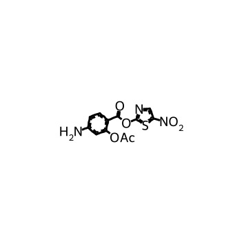 CC(=O)Oc1cc(N)ccc1C(=O)Oc1ncc([N+](=O)[O-])s1